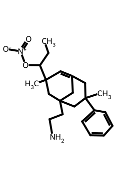 CCC(O[N+](=O)[O-])C1(C)C=C2CC(CCN)(CC(C)(c3ccccc3)C2)C1